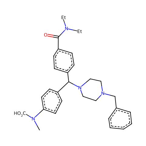 CCN(CC)C(=O)c1ccc(C(c2ccc(N(C)C(=O)O)cc2)N2CCN(Cc3ccccc3)CC2)cc1